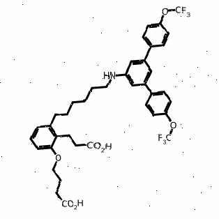 O=C(O)CCCOc1cccc(CCCCCCNc2cc(-c3ccc(OC(F)(F)F)cc3)cc(-c3ccc(OC(F)(F)F)cc3)c2)c1CCC(=O)O